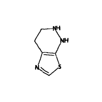 c1nc2c(s1)NNCC2